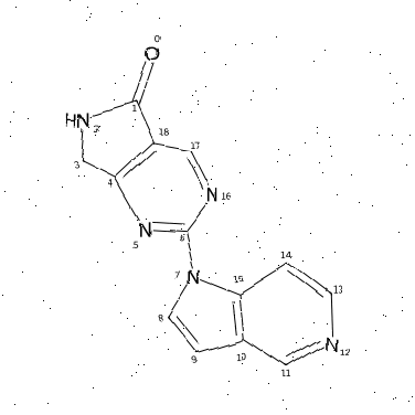 O=C1NCc2nc(-n3ccc4cnccc43)ncc21